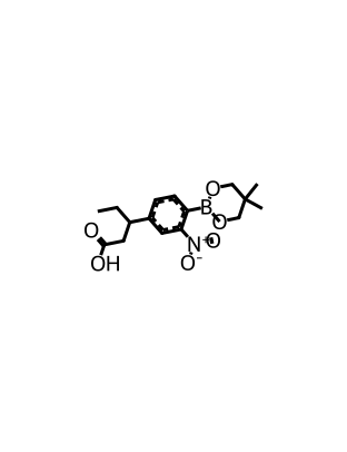 CCC(CC(=O)O)c1ccc(B2OCC(C)(C)CO2)c([N+](=O)[O-])c1